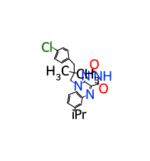 CC(C)c1ccc2c(c1)nc1c(=O)[nH]c(=O)nc-1n2CC(C)(C)Cc1ccc(Cl)cc1